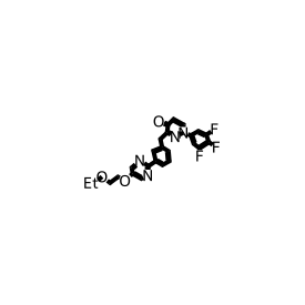 CCOCCOc1cnc(-c2cccc(Cc3nn(-c4cc(F)c(F)c(F)c4)ccc3=O)c2)nc1